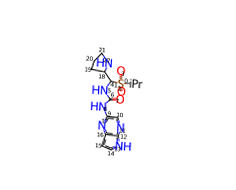 CC(C)S(=O)(=O)C(NC(=O)Nc1cnc2[nH]ccc2n1)C1CCCN1